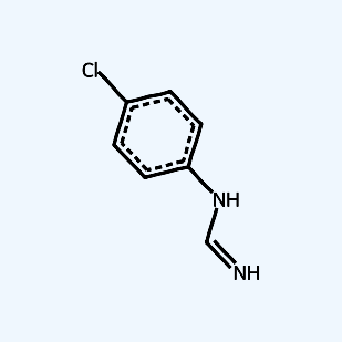 N=CNc1ccc(Cl)cc1